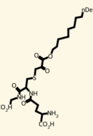 CCCCCCCCCCCCCCCCCCOC(=O)C(=O)CSCC(NC(=O)CCC(N)C(=O)O)C(=O)NCC(=O)O